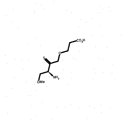 COC[C@H](N)C(=S)COCCC(=O)O